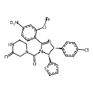 CC(C)Oc1cc([N+](=O)[O-])ccc1C1=N[C@@H](c2ccc(Cl)cc2)[C@@H](c2cccs2)N1C(=O)N1CCNC(=O)C1